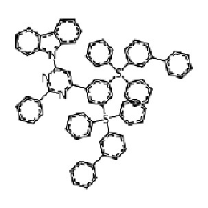 c1ccc(-c2cccc(S(c3ccccc3)(c3ccccc3)c3cc(-c4cc(-n5c6ccccc6c6ccccc65)nc(-c5ccccc5)n4)cc(S(c4ccccc4)(c4ccccc4)c4cccc(-c5ccccc5)c4)c3)c2)cc1